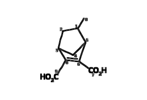 CC1CC2CC1C(C(=O)O)=C2C(=O)O